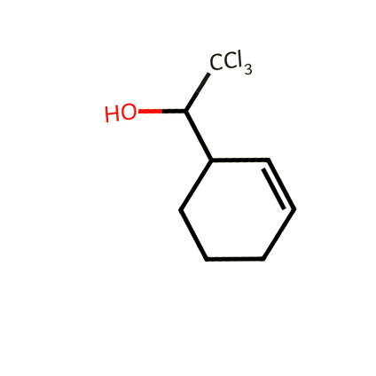 OC(C1C=CCCC1)C(Cl)(Cl)Cl